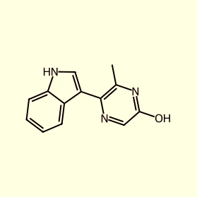 Cc1nc(O)cnc1-c1c[nH]c2ccccc12